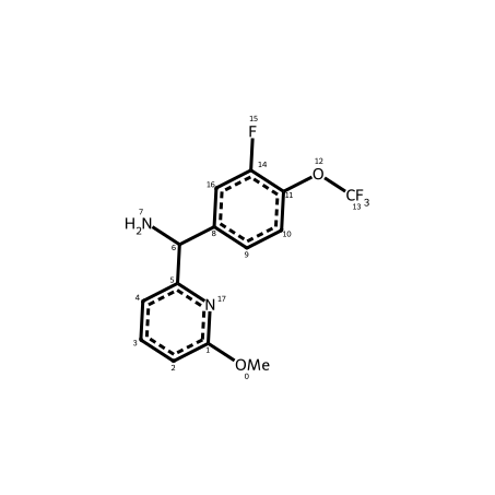 COc1cccc(C(N)c2ccc(OC(F)(F)F)c(F)c2)n1